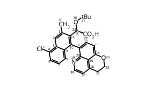 Cc1cc2c(Cl)cccc2c(-c2ccc3c4c(ccnc24)CCO3)c1[C@@H](OC(C)(C)C)C(=O)O